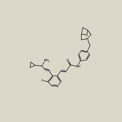 NN(/C=C/c1c(F)cncc1/C=C/C(=O)Nc1ccc(CN2CC3CC(C2)O3)cc1)C1CC1